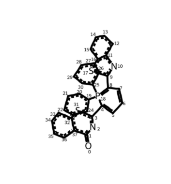 O=c1nc(C2=CC=CC(c3nc4ccccc4s3)=P2(c2ccccc2)c2ccccc2)sc2ccccc12